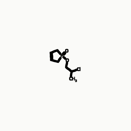 CC(Cl)COP1(=O)CC=CC1